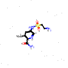 CNc1cc(NS(=O)(=O)CCN)cnc1C(N)=O